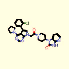 O=C(Cn1cc(-c2ccccc2Cl)c2c(N3CCCC3)ncnc21)N1CCC(n2c(=O)[nH]c3ncccc32)CC1